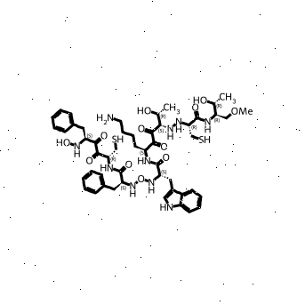 COC[C@@H](NC(=O)[C@H](CS)NN[C@H](C(=O)C(=O)[C@H](CCCCN)NC(=O)[C@H](Cc1c[nH]c2ccccc12)NON[C@@H](Cc1ccccc1)C(=O)N[C@@H](CS)C(=O)C(=O)[C@H](Cc1ccccc1)NO)[C@@H](C)O)[C@@H](C)O